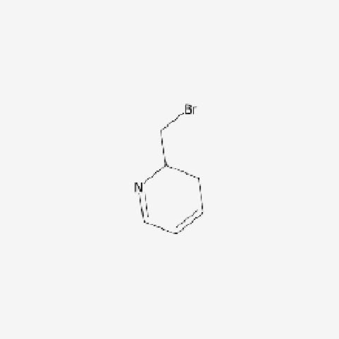 BrCC1CC=CC=N1